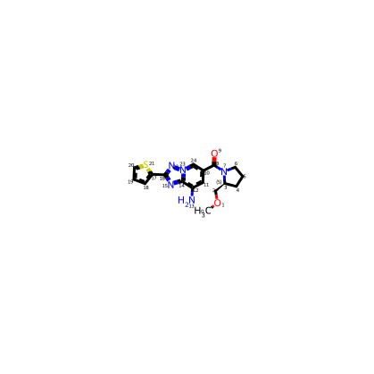 COC[C@@H]1CCCN1C(=O)c1cc(N)c2nc(-c3cccs3)nn2c1